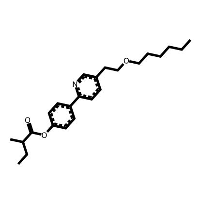 CCCCCCOCCc1ccc(-c2ccc(OC(=O)C(C)CC)cc2)nc1